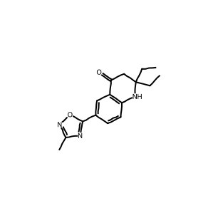 CCC1(CC)CC(=O)c2cc(-c3nc(C)no3)ccc2N1